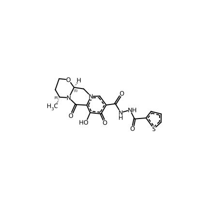 C[C@@H]1CCO[C@H]2Cn3cc(C(=O)NNC(=O)c4cccs4)c(=O)c(O)c3C(=O)N12